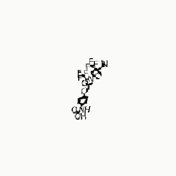 N#Cc1ccc(N2CC(COc3ccc(NC(=O)O)cc3)OC2C(F)(F)F)cc1C(F)(F)F